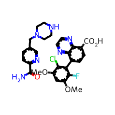 COc1cc(OC)c(Cl)c(-c2ccc(C(=O)O)c3nccnc23)c1F.NC(=O)c1ccc(CN2CCNCC2)cn1